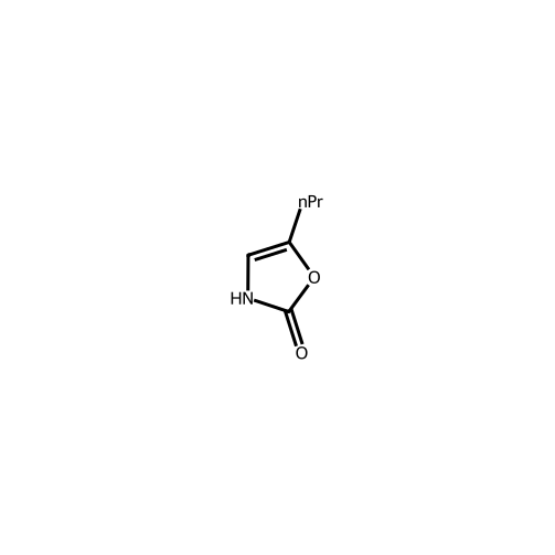 CCCc1c[nH]c(=O)o1